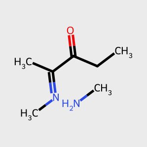 CCC(=O)C(C)=NC.CN